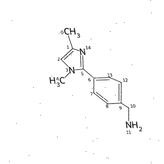 Cc1cn(C)c(-c2ccc(CN)cc2)n1